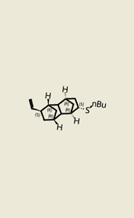 C=C[C@@H]1C[C@@H]2C[C@H]1C1C2[C@H]2C[C@@H]1C[C@@H]2SCCCC